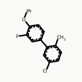 Cc1ccc(Cl)cc1-c1ccc(OC(C)C)c(F)c1